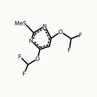 CSc1nc(OC(F)F)cc(OC(F)F)n1